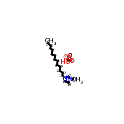 CCCCCCCCCCCCCCn1cc[n+](C)c1.O=S(=O)([O-])O